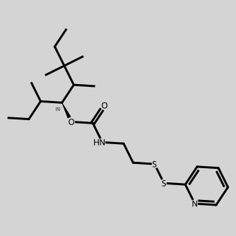 CCC(C)[C@H](OC(=O)NCCSSc1ccccn1)C(C)C(C)(C)CC